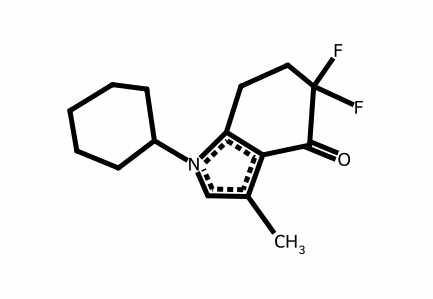 Cc1cn(C2CCCCC2)c2c1C(=O)C(F)(F)CC2